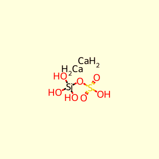 O=S(=O)(O)O[Si](O)(O)O.[CaH2].[CaH2]